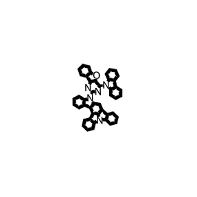 c1ccc2c(c1)oc1c(-n3c4ccccc4c4ccccc43)nc(-n3c4ccccc4c4c5c6ccccc6n6c7ccccc7c(cc43)c56)nc12